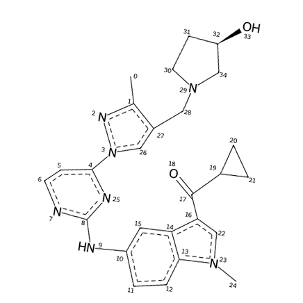 Cc1nn(-c2ccnc(Nc3ccc4c(c3)c(C(=O)C3CC3)cn4C)n2)cc1CN1CC[C@@H](O)C1